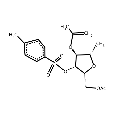 C=C(C)O[C@@H]1[C@@H](OS(=O)(=O)c2ccc(C)cc2)[C@@H](COC(C)=O)O[C@H]1C